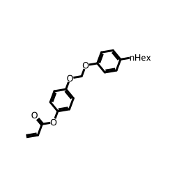 C=CC(=O)Oc1ccc(OCOc2ccc(CCCCCC)cc2)cc1